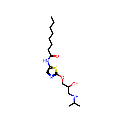 CCCCCCCC(=O)Nc1cnc(OCC(O)CNC(C)C)s1